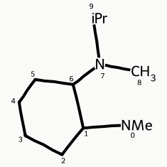 CNC1CCCCC1N(C)C(C)C